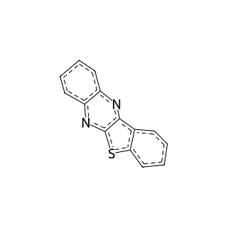 c1ccc2nc3c(nc2c1)sc1ccccc13